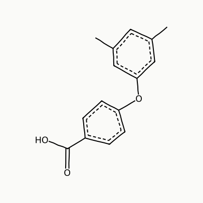 Cc1cc(C)cc(Oc2ccc(C(=O)O)cc2)c1